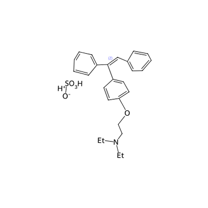 CCN(CC)CCOc1ccc(/C(=C\c2ccccc2)c2ccccc2)cc1.O=S(=O)([O-])O.[H+]